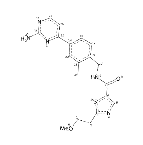 COCCc1ncc(C(=O)NCc2ccc(-c3ccnc(N)n3)cc2C)s1